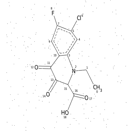 CCN1c2cc(Cl)c(F)cc2C(=O)C(=O)C1C(=O)O